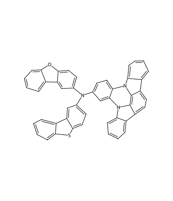 c1ccc2c(c1)oc1ccc(N(c3ccc4sc5ccccc5c4c3)c3ccc4c(c3)n3c5ccccc5c5ccc6c7ccccc7n4c6c53)cc12